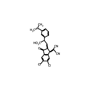 CN(C)c1cccc(C(C=C2C(=O)c3cc(Cl)c(Cl)cc3C2=C(C#N)C#N)C(=O)O)c1